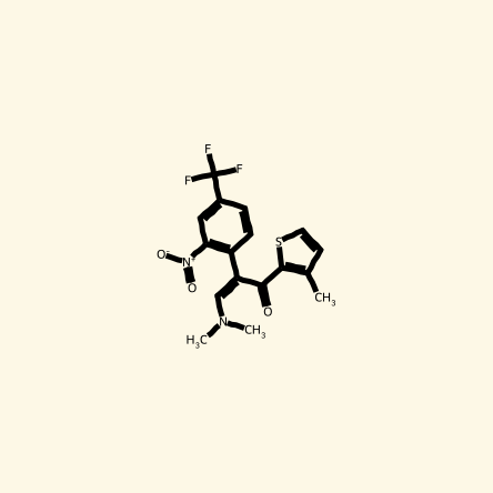 Cc1ccsc1C(=O)C(=CN(C)C)c1ccc(C(F)(F)F)cc1[N+](=O)[O-]